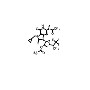 CC(=O)Nc1nc2c(c(=O)[nH]1)n(CC1CC1)c(=O)n2[C@@H]1O[C@H]([C@@H](C)C(F)(F)F)C[C@H]1OC(C)=O